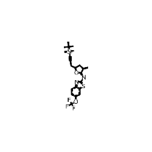 CC1CC(CC#C[Si](C)(C)C(C)(C)C)O/C1=N\c1nc2ccc(OC(F)(F)F)cc2s1